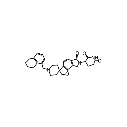 O=C1CCC(N2Cc3c(ccc4c3OCC43CCN(Cc4cccc5c4CCCC5)CC3)C2=O)C(=O)N1